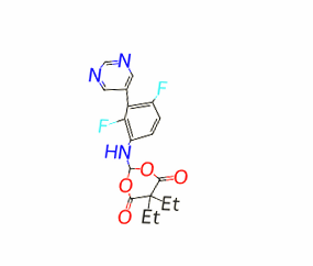 CCC1(CC)C(=O)OC(Nc2ccc(F)c(-c3cncnc3)c2F)OC1=O